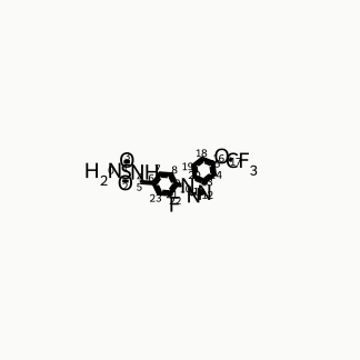 NS(=O)(=O)NCc1ccc(-n2nnc3cc(OC(F)(F)F)ccc32)c(F)c1